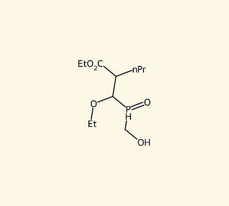 CCCC(C(=O)OCC)C(OCC)[PH](=O)CO